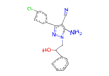 N#Cc1c(-c2ccc(Cl)cc2)nn(CC(O)c2ccccc2)c1N